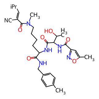 Cc1ccc(CNC(=O)C(CCCCN(C)C(=O)C(C#N)=CC(C)C)NC(=O)C(NC(=O)c2cc(C)on2)C(C)O)cc1